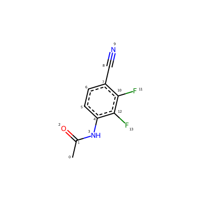 CC(=O)Nc1ccc(C#N)c(F)c1F